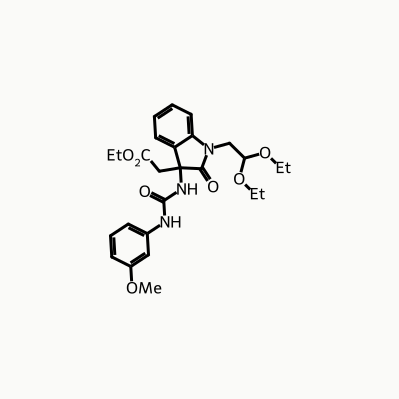 CCOC(=O)CC1(NC(=O)Nc2cccc(OC)c2)C(=O)N(CC(OCC)OCC)c2ccccc21